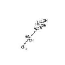 CCCCCCCCC(O)C(O)CCCCCCCC(=O)OCC(=O)[C@H](O)[C@@H](O)[C@H](O)CO